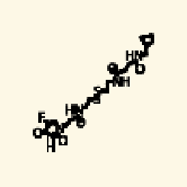 O=C(CCC(=O)NCC1CCC1)NCCSSCCNC(=O)CCn1cc(F)c(=O)[nH]c1=O